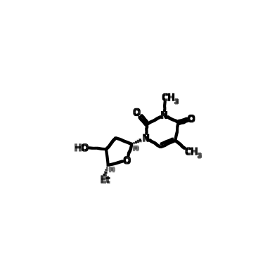 CC[C@H]1O[C@@H](n2cc(C)c(=O)n(C)c2=O)CC1O